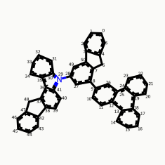 c1ccc2c(c1)Cc1c(-c3ccc4c5ccccc5c5ccccc5c4c3)cc(-n3c4ccccc4c4c5c(ccc43)-c3ccccc3C5)cc1-2